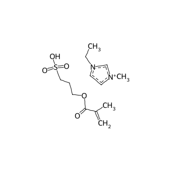 C=C(C)C(=O)OCCCS(=O)(=O)O.CCn1cc[n+](C)c1